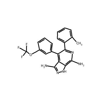 Cc1ccccc1-c1nc(N)c2[nH]nc(N)c2c1-c1cccc(OC(F)(F)F)c1